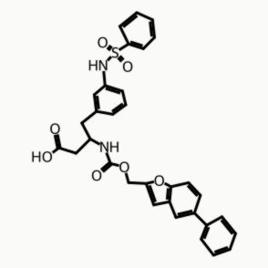 O=C(O)CC(Cc1cccc(NS(=O)(=O)c2ccccc2)c1)NC(=O)OCc1cc2cc(-c3ccccc3)ccc2o1